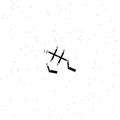 C=CF.C=COC(F)(F)C(F)(F)C(F)(F)F